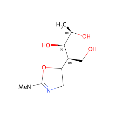 CNC1=NCC([C@H](CO)[C@@H](O)[C@@H](C)O)O1